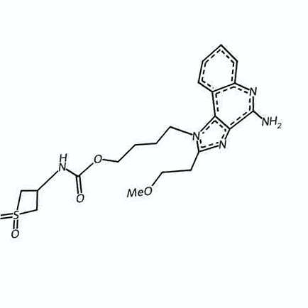 COCCc1nc2c(N)nc3ccccc3c2n1CCCCOC(=O)NC1CS(=O)(=O)C1